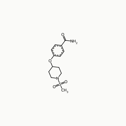 CS(=O)(=O)N1CCC(Oc2ccc(C(N)=O)cc2)CC1